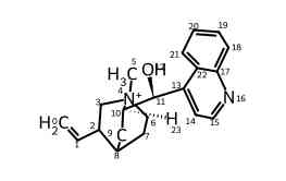 C=CC1C[N+]2(C)CCC1C[C@@H]2[C@@H](O)c1ccnc2ccccc12